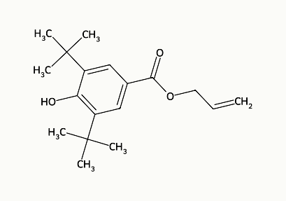 C=CCOC(=O)c1cc(C(C)(C)C)c(O)c(C(C)(C)C)c1